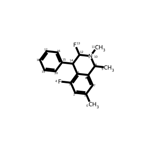 Cc1cc(F)c2c(c1)C(C)N(C)C(F)C2c1ccccc1